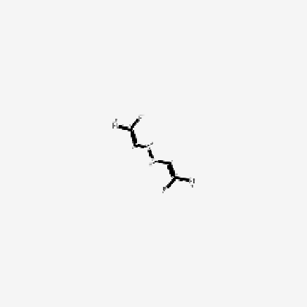 CCC(F)=CSSC=C(F)CC